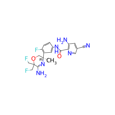 C[C@@]1(c2cc(NC(=O)c3ncc(C#N)cc3N)ccc2F)COC(CF)(CF)C(N)=N1